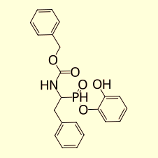 O=C(NC(Cc1ccccc1)[PH](=O)Oc1ccccc1O)OCc1ccccc1